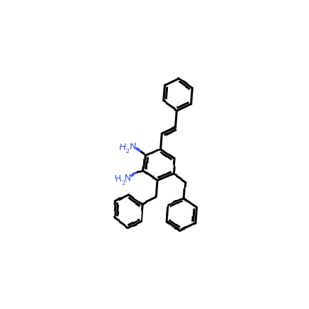 Nc1c(C=Cc2ccccc2)cc(Cc2ccccc2)c(Cc2ccccc2)c1N